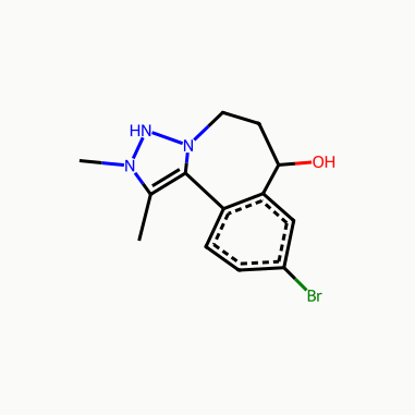 CC1=C2c3ccc(Br)cc3C(O)CCN2NN1C